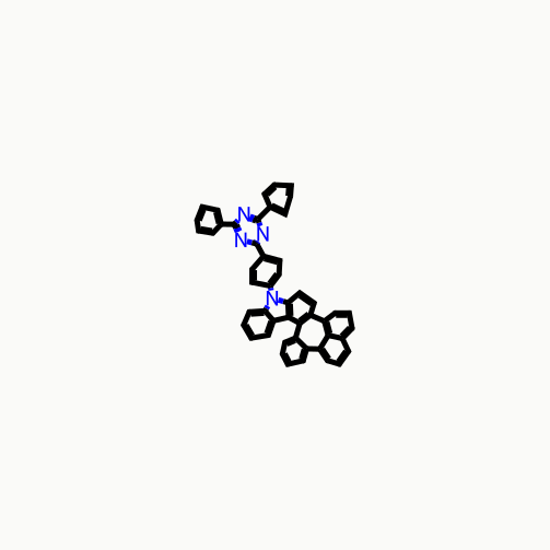 c1ccc(-c2nc(-c3ccccc3)nc(-c3ccc(-n4c5ccccc5c5c6c(ccc54)-c4cccc5cccc(c45)-c4ccccc4-6)cc3)n2)cc1